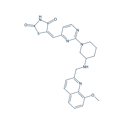 COc1cccc2ccc(CNC3CCCN(c4nccc(C=C5SC(=O)NC5=O)n4)C3)nc12